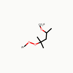 CC(C)OOC(C)(C)CC(C)OC(=O)O